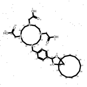 O=C(O)CN1CCN(CC(=O)O)CCN(Cc2ccc(C3OC45CCCCCCCCCCCC4(C5)O3)cc2)CCN(CC(=O)O)CC1